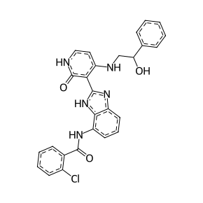 O=C(Nc1cccc2nc(-c3c(NCC(O)c4ccccc4)cc[nH]c3=O)[nH]c12)c1ccccc1Cl